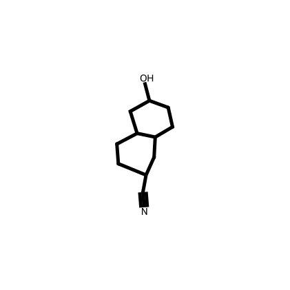 N#CC1CCC2CC(O)CCC2C1